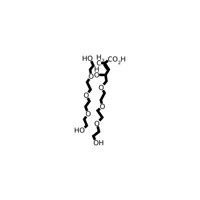 CC(=CC(O)COCCOCCOCCO)C(=O)O.OCCOCCOCCOCCO